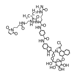 CC(C)[C@H](NCCNC(=O)CCCN1C(=O)C=CC1=O)C(=O)N[C@@H](CCCNC(N)=O)C(=O)Nc1ccc(C(=O)Nc2ccc3[nH]c(C(=O)N4C[C@@H](CCl)c5c4cc(O[C@H]4O[C@H](C(=O)O)[C@@H](O)[C@H](O)[C@H]4O)c4ccccc54)cc3c2)cc1